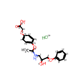 CC(NCC(O)COc1ccccc1)Oc1ccc(OCC(=O)O)cc1.Cl